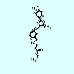 CCOC(=O)CCNCc1cccc(OCc2nc(-c3ccc(C)cc3)oc2C)c1